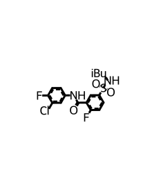 CCC(C)NS(=O)(=O)c1ccc(F)c(C(=O)Nc2ccc(F)c(Cl)c2)c1